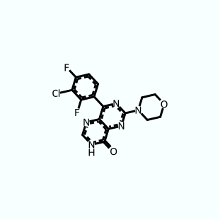 O=c1[nH]cnc2c(-c3ccc(F)c(Cl)c3F)nc(N3CCOCC3)nc12